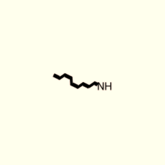 C=C\C=C/C=C\C=C\C=N